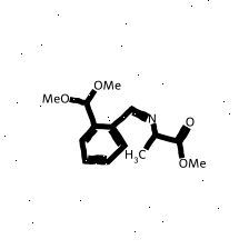 COC(=O)C(C)/N=C\c1ccccc1C(OC)OC